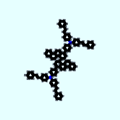 C(=Cc1ccc(N(c2ccc(C=Cc3ccccc3)cc2)c2ccc(-c3ccc(-c4ccc(-c5ccc(N(c6ccc(C=Cc7ccccc7)cc6)c6ccc(C=Cc7ccccc7)cc6)cc5)c5ccc6c7ccccc7ccc6c45)c4c3ccc3c5ccccc5ccc34)cc2)cc1)c1ccccc1